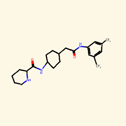 O=C(CC1CCC(NC(=O)C2CCCCN2)CC1)Nc1cc(C(F)(F)F)cc(C(F)(F)F)c1